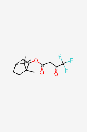 CC1(C)C2CCC1(C)C(OC(=O)CC(=O)C(F)(F)F)C2